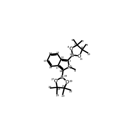 Cn1c(B2OC(C)(C)C(C)(C)O2)c2ccccc2c1B1OC(C)(C)C(C)(C)O1